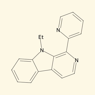 CCn1c2ccccc2c2ccnc(-c3ccccn3)c21